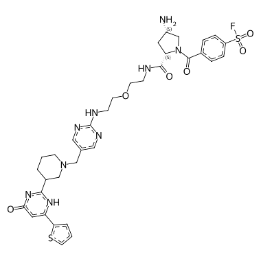 N[C@H]1C[C@@H](C(=O)NCCOCCNc2ncc(CN3CCCC(c4nc(=O)cc(-c5cccs5)[nH]4)C3)cn2)N(C(=O)c2ccc(S(=O)(=O)F)cc2)C1